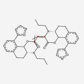 CCCN(CCC)[C@@H]1CCc2cccc(-c3ccno3)c2C1OC(=O)/C=C\C(=O)OC1c2c(cccc2-c2ccno2)CC[C@H]1N(CCC)CCC